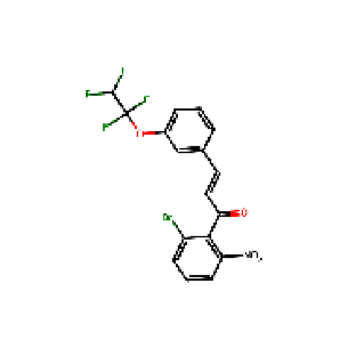 O=C(/C=C/c1cccc(OC(F)(F)C(F)F)c1)c1c(Br)cccc1[N+](=O)[O-]